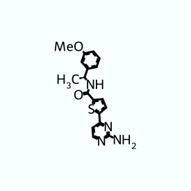 COc1cccc([C@H](C)NC(=O)c2ccc(-c3ccnc(N)n3)s2)c1